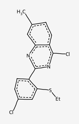 CCSc1cc(Cl)ccc1-c1nc(Cl)c2ccc(C)cc2n1